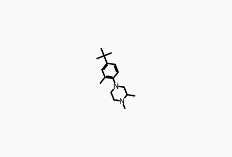 Cc1cc(C(C)(C)C)ccc1N1CCN(C)C(C)C1